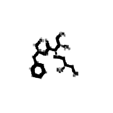 CC[C@H](C)[C@H](NC[C@@H](N)CS)C(=O)N[C@H](CO)Cc1ccccc1